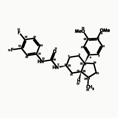 COc1ccc([C@@]23CC[C@@H](NC(=O)Nc4ccc(F)c(F)c4)C[C@@H]2N(C)CC3)cc1OC